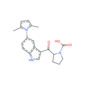 Cc1ccc(C)n1-c1ccc2[nH]cc(C(=O)C3CCCN3C(=O)O)c2c1